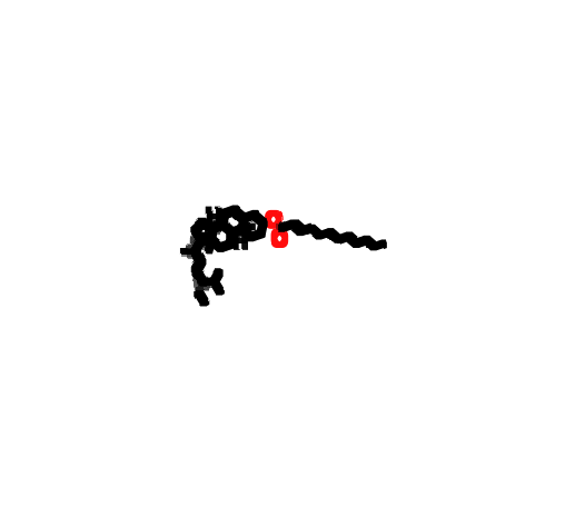 CCCCCCCCCC=CC(=O)OC1CC[C@@]2(C)C(=CC[C@H]3[C@@H]4CC[C@H]([C@H](C)C=C[C@@H](CC)C(C)C)[C@@]4(C)CC[C@@H]32)C1